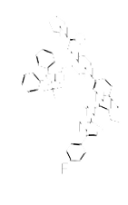 CCc1nc2ccc(N3CCN(CC(=O)N4CCCC4)[C@H](CO[Si](c4ccccc4)(c4ccccc4)C(C)(C)C)C3)cn2c1N(C)c1nc(-c2ccc(F)cc2)cs1